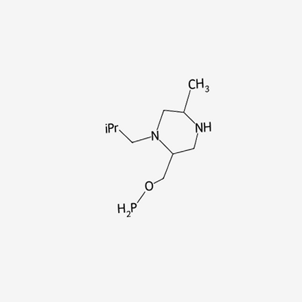 CC(C)CN1CC(C)NCC1COP